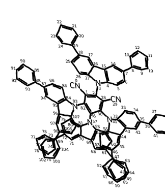 [C-]#[N+]c1c(-n2c3ccc(-c4ccccc4)cc3c3cc(-c4ccccc4)ccc32)c(C#N)c(-n2c3ccc(-c4ccccc4)cc3c3cc(-c4ccccc4)ccc32)c(-n2c3ccc(-c4ccccc4)cc3c3cc(-c4ccccc4)ccc32)c1-n1c2ccc(-c3ccccc3)cc2c2cc(-c3ccccc3)ccc21